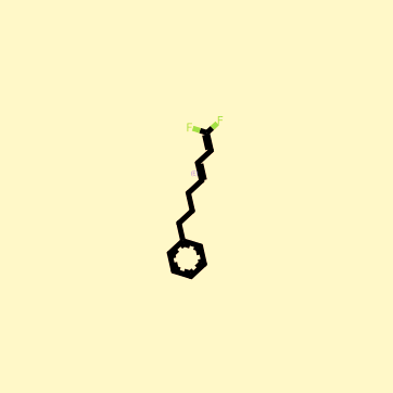 FC(F)=C/C=C/CCCc1ccccc1